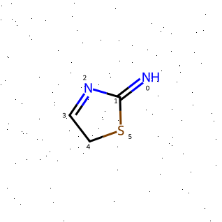 N=C1N=CCS1